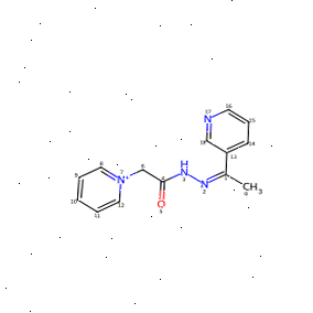 CC(=NNC(=O)C[n+]1ccccc1)c1cccnc1